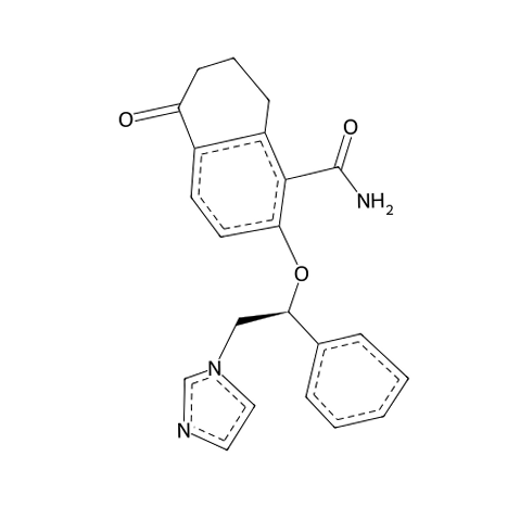 NC(=O)c1c(O[C@H](Cn2ccnc2)c2ccccc2)ccc2c1CCCC2=O